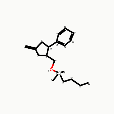 C=C1CC(CO[Si](C)(C)CCCC)C(c2ccccc2)C1